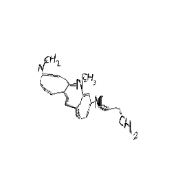 C=CC=Nc1ccc2cc3ccc(N=C)cc3[n+](C)c2c1